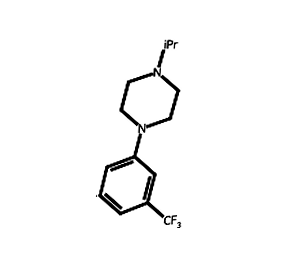 CC(C)N1CCN(c2c[c]cc(C(F)(F)F)c2)CC1